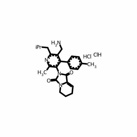 Cc1ccc(-c2c(CN)c(CC(C)C)nc(C)c2N2C(=O)C3=CCCCN3C2=O)cc1.Cl.Cl